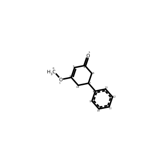 COC1=CC(=O)CC(c2ccccc2)C1